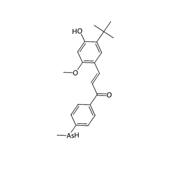 COc1cc(O)c(C(C)(C)C)cc1C=CC(=O)c1ccc([AsH]C)cc1